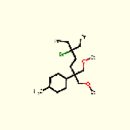 CCOCC(CCC(Br)(CC(C)C)CC(C)C)(COCC)C1CCC(C)CC1